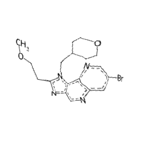 COCCc1nc2cnc3cc(Br)cnc3c2n1CC1CCOCC1